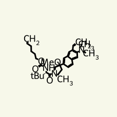 C=CCCCCOC(=O)N[C@H](C(=O)N1C[C@](OC)(c2ccc3cc(N(C)C)c(C=C)cc3c2)C[C@H]1C)C(C)(C)C